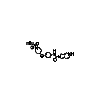 CCCCS(=O)(=O)N1CCC(Oc2ccc(NC(=O)N3C=C4C=CNC=C4C3)cc2)CC1